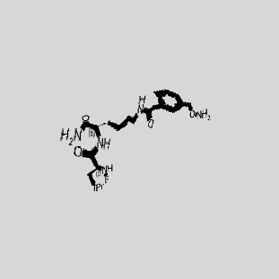 CC(C)C[C@H](NF)C(=O)N[C@@H](CCCCNC(=O)c1cccc(CON)c1)C(N)=O